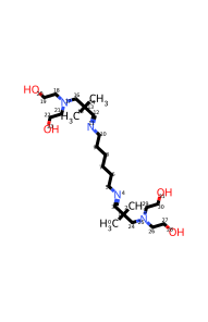 CC(C)(C=NCCCCCCN=CC(C)(C)CN(CCO)CCO)CN(CCO)CCO